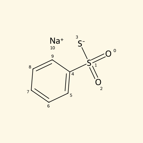 O=S(=O)([S-])c1ccccc1.[Na+]